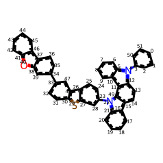 c1ccc(-n2c3ccccc3c3c2ccc2c4ccccc4n(-c4ccc5c(c4)sc4ccc(-c6ccc7c(c6)oc6ccccc67)cc45)c23)cc1